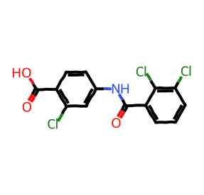 O=C(O)c1ccc(NC(=O)c2cccc(Cl)c2Cl)cc1Cl